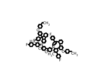 C=CC1=CCC(Oc2ccc(C3(C4C=CC(F)=CC4)C4C=C(N(C5=CC6C7=C(CCC(N8C9=CC(C)=C(C%10=CCC(F)C=C%10)CC9C9=C(C=CC(OC%10=CC=C(C=C)CC%10)C9)C9CCC=CC9C9=C(c%10ccc(F)cc%10)CC8C=C9)=C7)OC6CC5)C5=CC(C)=C(C6CC=C(F)CC6)CC5C)C=CC4C4C=CCCC43)cc2)C=C1